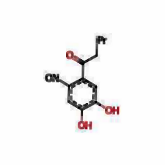 CC(C)CC(=O)c1cc(O)c(O)cc1N=O